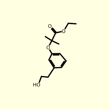 CCOC(=O)C(C)(C)Oc1cccc(CCO)c1